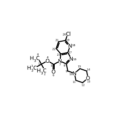 CC(C)(C)OC(=O)n1c(CN2CCOCC2)nc2nc(Cl)ccc21